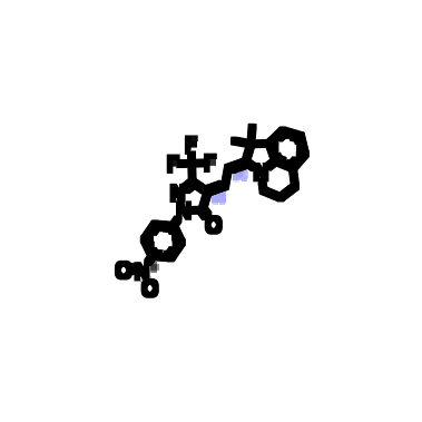 CC1(C)/C(=C/C=C2/C(=O)N(c3ccc([N+](=O)[O-])cc3)N=C2C(F)(F)F)N2CCCc3cccc1c32